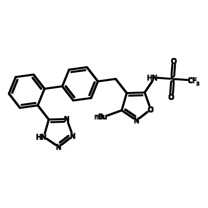 CCCCc1noc(NS(=O)(=O)C(F)(F)F)c1Cc1ccc(-c2ccccc2-c2nnn[nH]2)cc1